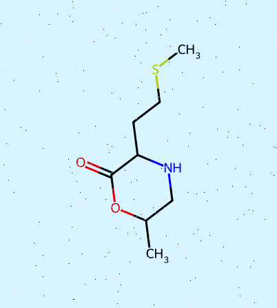 CSCCC1NCC(C)OC1=O